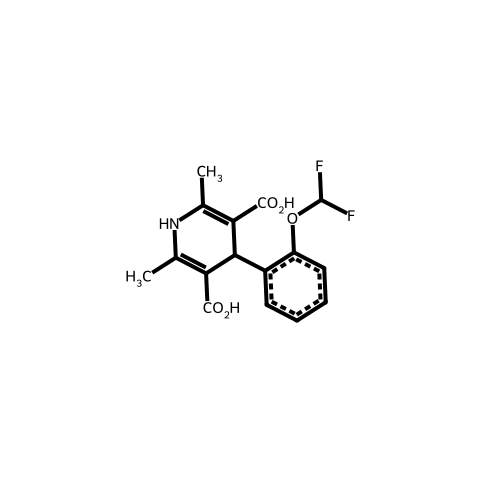 CC1=C(C(=O)O)C(c2ccccc2OC(F)F)C(C(=O)O)=C(C)N1